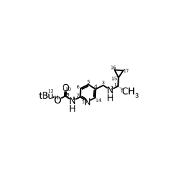 C[C@H](NCc1ccc(NC(=O)OC(C)(C)C)nc1)C1CC1